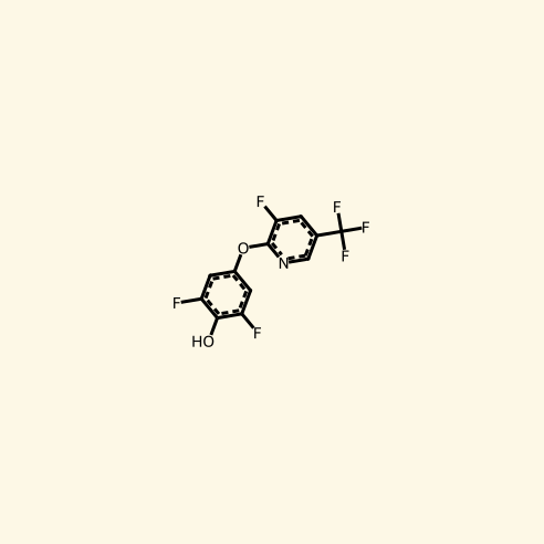 Oc1c(F)cc(Oc2ncc(C(F)(F)F)cc2F)cc1F